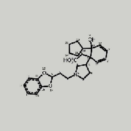 O=C(O)CC1(C2CCN(CCC3Oc4ccccc4O3)C2)C=CC=CC1(O)C1CCCC1